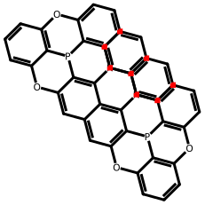 c1ccc(-n2c3cccc4oc5cccc6oc7cc8cc9oc%10cccc%11oc%12cccc%13c%12p(c%11%10)c9c(c8c2c7p(c56)c43)n%13-c2ccccc2)cc1